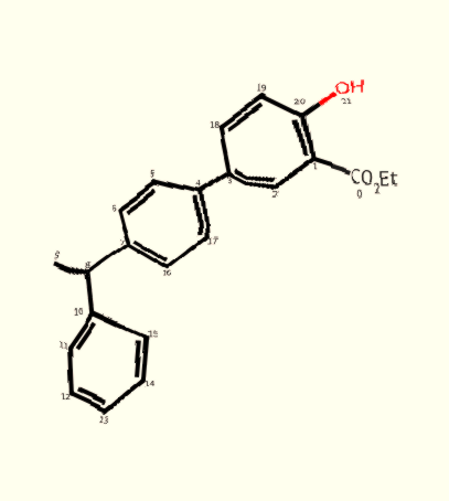 CCOC(=O)c1cc(-c2ccc(C(C)c3ccccc3)cc2)ccc1O